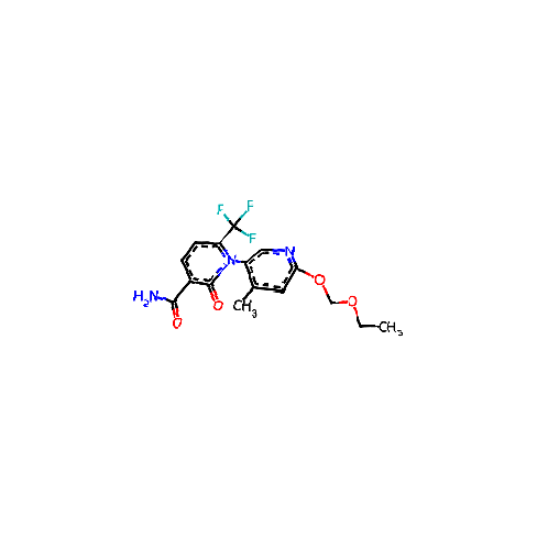 CCOCOc1cc(C)c(-n2c(C(F)(F)F)ccc(C(N)=O)c2=O)cn1